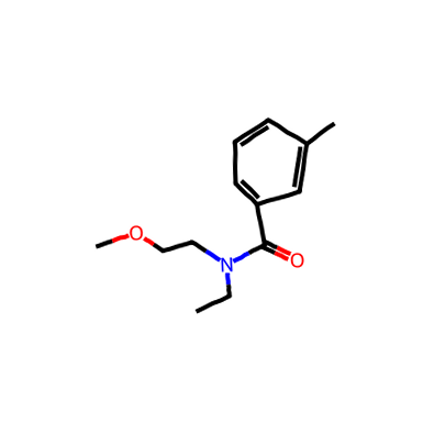 CCN(CCOC)C(=O)c1cccc(C)c1